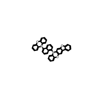 c1ccc2c(c1)Oc1ccccc1N2c1cccc2c(N3c4ccccc4Oc4cc5c(cc43)oc3ccccc35)cccc12